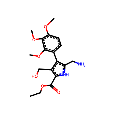 CCOC(=O)c1[nH]c(CN)c(-c2ccc(OC)c(OC)c2OC)c1CO